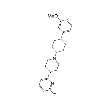 COc1cccc(C2CCC(N3CCN(c4cccc(F)n4)CC3)CC2)c1